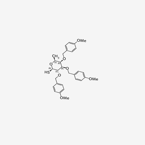 COc1ccc(CO[C@@H]2[C@H](OCc3ccc(OC)cc3)[C@H](C)O[C@H](S)[C@H]2OCc2ccc(OC)cc2)cc1